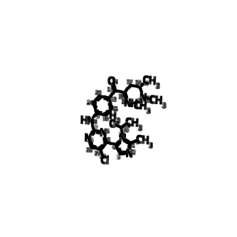 Cc1ncc(-c2nc(Nc3ccc(C(=O)C(=N)C[C@@H](C)N(C)C)cc3)ncc2Cl)n1C(C)C